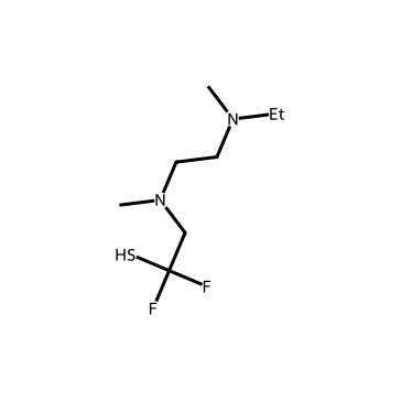 CCN(C)CCN(C)CC(F)(F)S